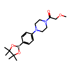 COCC(=O)N1CCN(c2ccc(B3OC(C)(C)C(C)(C)O3)cc2)CC1